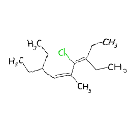 CCC(CC)=C(Cl)/C(C)=C\C(CC)CC